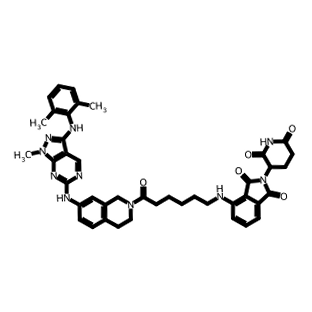 Cc1cccc(C)c1Nc1nn(C)c2nc(Nc3ccc4c(c3)CN(C(=O)CCCCCNc3cccc5c3C(=O)N(C3CCC(=O)NC3=O)C5=O)CC4)ncc12